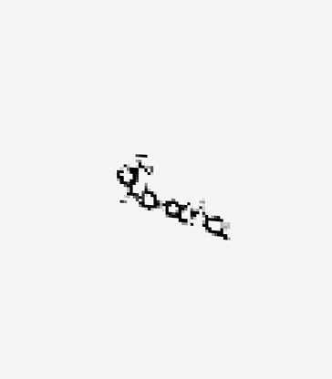 COC(=O)c1cc(C(=O)N2CC[C@@H](N3Cc4cnc(Nc5ccc(C)nc5)nc4C3)C[C@H]2C)ccn1